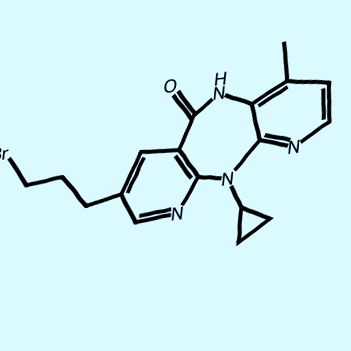 Cc1ccnc2c1NC(=O)c1cc(CCCBr)cnc1N2C1CC1